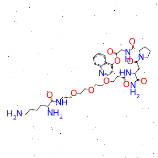 C[C@H](NC(=O)[C@@H]1CCCN1C(=O)C[C@H](NC(=O)CCOCCOCCOCCNC(=O)[C@@H](N)CCCCN)C(N)=O)C(=O)Oc1ccnc2ccccc12